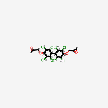 Clc1c(Cl)c(-c2c(Cl)c(Cl)c(OCC3CO3)c(Cl)c2Cl)c(Cl)c(Cl)c1OCC1CO1